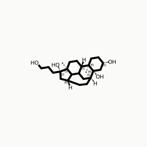 C[C@@]12CC[C@H]3C4C[C@H](CC[C@H](C[C@@]1(O)CCCO)C42)[C@]1(O)C[C@@H](O)CC[C@]31C